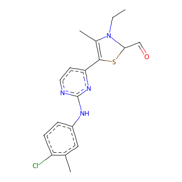 CCN1C(C)=C(c2ccnc(Nc3ccc(Cl)c(C)c3)n2)SC1C=O